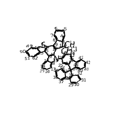 CC1(C)c2ccccc2-c2c1c1c(c3ccccc3n1-c1ccc3c(c1)C(c1ccccc1)(c1ccccc1)c1ccccc1-3)c1c2sc2ccccc21